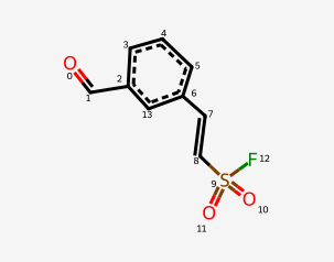 O=Cc1cccc(C=CS(=O)(=O)F)c1